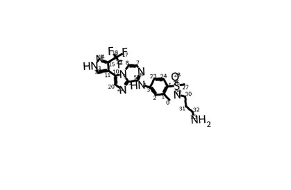 Cc1cc(Nc2nccn3c(-c4c[nH]nc4C(F)(F)F)cnc23)ccc1S(C)(=O)=NCCCN